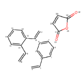 C=Cc1ccccc1.C=Cc1ccccc1C=C.O=C1C=CC(=O)O1